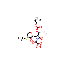 C=CCOC(=O)O[C@H](C)[C@H]1C(=O)N(C(=O)C(=O)O)[C@@H]1[C@H]1OCC[C@H](SC)C1=O